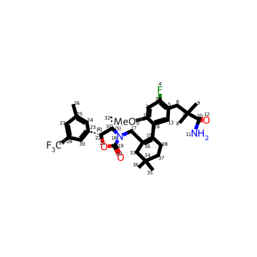 COc1cc(F)c(CC(C)(C)C(N)=O)cc1C1=C(CN2C(=O)O[C@H](c3cc(C)cc(C(F)(F)F)c3)[C@@H]2C)CC(C)(C)CC1